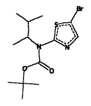 CC(C)C(C)N(C(=O)OC(C)(C)C)c1ncc(Br)s1